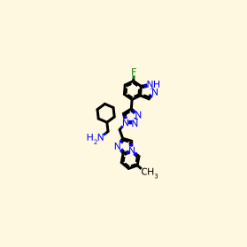 Cc1ccc2nc(Cn3cc(-c4ccc(F)c5[nH]ncc45)nn3)cn2c1.NCC1CCCCC1